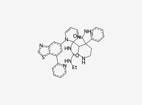 CCNC(=O)NC1(C2CNCCC2(C(N)=O)c2ccccc2)N=CC=CN1c1cc(-c2ccccn2)c2scnc2c1